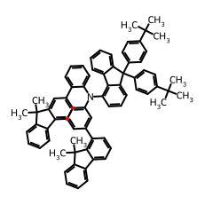 CC(C)(C)c1ccc(C2(c3ccc(C(C)(C)C)cc3)c3ccccc3-c3c(N(c4cccc(-c5cccc6c5C(C)(C)c5ccccc5-6)c4)c4ccccc4-c4ccc5c(c4)C(C)(C)c4ccccc4-5)cccc32)cc1